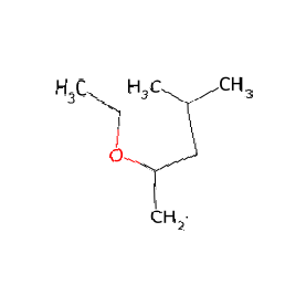 [CH2]C(CC(C)C)OCC